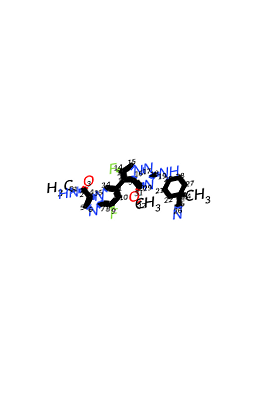 CNC(=O)c1cnc2c(F)cc(-c3c(F)cn4nc(NC5CCC(C)(C#N)CC5)nc(OC)c34)cn12